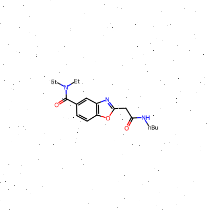 CCCCNC(=O)Cc1nc2cc(C(=O)N(CC)CC)ccc2o1